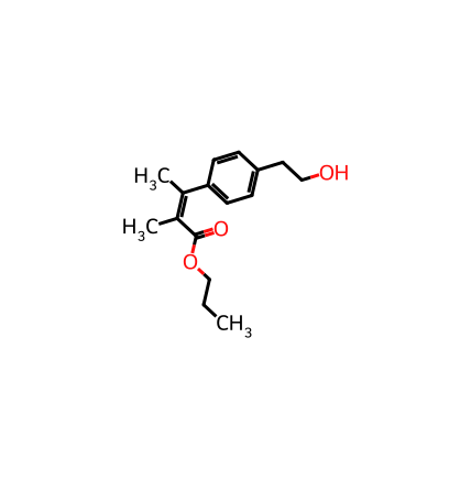 CCCOC(=O)C(C)=C(C)c1ccc(CCO)cc1